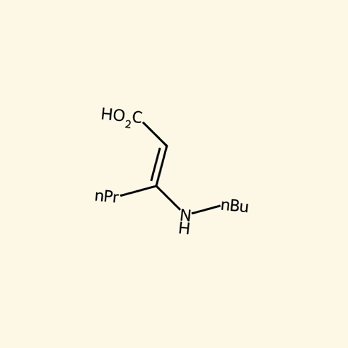 CCCCNC(=CC(=O)O)CCC